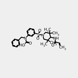 C=CC(=O)NC1C(C)(C)CN(S(=O)(=O)c2cccc(N(Cc3ccccc3)C(=O)O)c2)CC1(C)C